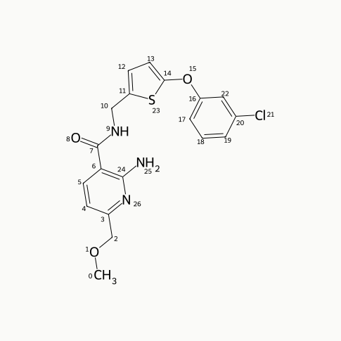 COCc1ccc(C(=O)NCc2ccc(Oc3cccc(Cl)c3)s2)c(N)n1